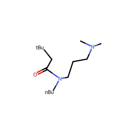 CCCCN(CCCN(C)C)C(=O)CC(C)(C)C